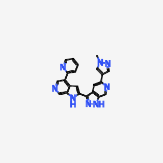 Cn1cc(-c2cc3c(-c4cc5c(-c6ccccn6)cncc5[nH]4)n[nH]c3cn2)cn1